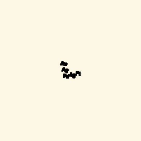 [Ag].[Ag].[Au].[Pd].[Pt]